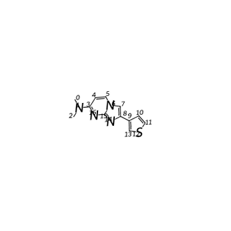 CN(C)c1ccn2cc(-c3ccsc3)nc2n1